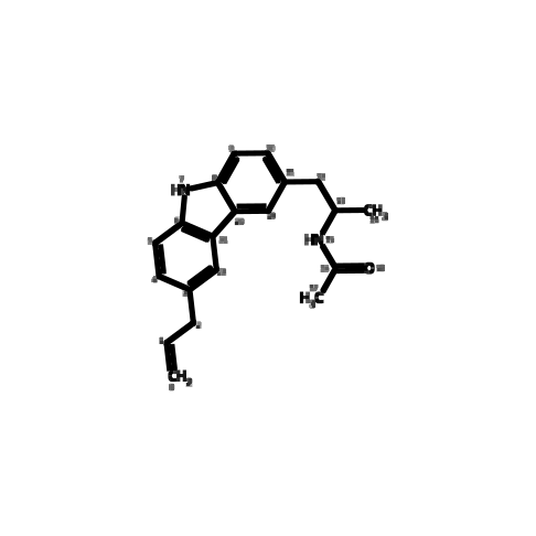 C=CCc1ccc2[nH]c3ccc(CC(C)NC(C)=O)cc3c2c1